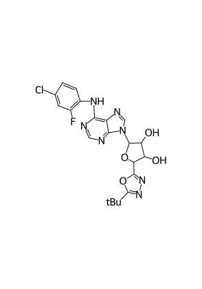 CC(C)(C)c1nnc(C2OC(n3cnc4c(Nc5ccc(Cl)cc5F)ncnc43)C(O)C2O)o1